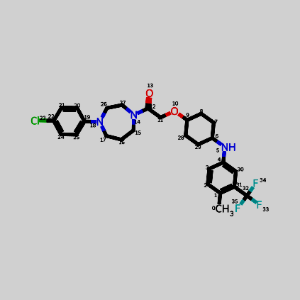 Cc1ccc(NC2CCC(OCC(=O)N3CCCN(c4ccc(Cl)cc4)CC3)CC2)cc1C(F)(F)F